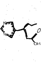 CC/C(=C\C(=O)O)c1cncnc1